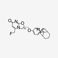 CC1(c2ccc(OC[C@@H]3Cn4c(CF)cc(=O)nc4O3)cc2)C2CCCC1CCC2